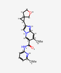 COc1cccc(NC(=O)c2cn3cc(C4CC45CCOC5)nc3cc2OC)n1